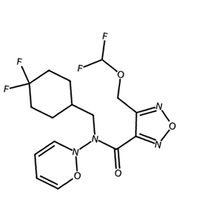 O=C(c1nonc1COC(F)F)N(CC1CCC(F)(F)CC1)N1C=CC=CO1